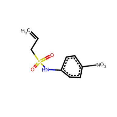 C=CCS(=O)(=O)Nc1ccc([N+](=O)[O-])cc1